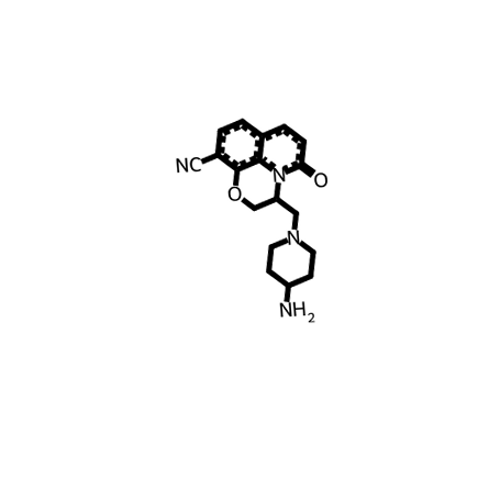 N#Cc1ccc2ccc(=O)n3c2c1OCC3CN1CCC(N)CC1